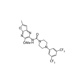 COc1nc2oc(C)cc2nc1NC(=O)N1CCN(c2cc(C(F)(F)F)cc(C(F)(F)F)c2)CC1